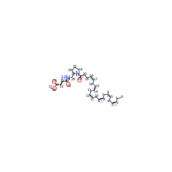 CC/C=C\C/C=C\C/C=C\C/C=C\C/C=C\C/C=C\CCC(=O)N1CCCC1CNC(=O)C=CC(=O)OC